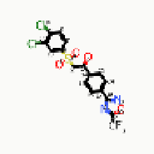 O=C(CS(=O)(=O)c1ccc(Cl)c(Cl)c1)c1ccc(-c2noc(C(F)(F)F)n2)cc1